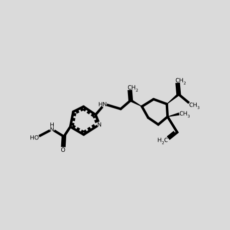 C=C[C@]1(C)CC[C@@H](C(=C)CNc2ccc(C(=O)NO)cn2)C[C@H]1C(=C)C